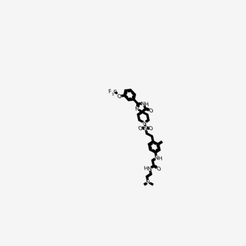 Cc1cc(NCC(=O)NCCN(C)C)ccc1CCS(=O)(=O)N1CCC2(CC1)N=C(c1cccc(OC(F)(F)F)c1)NC2=O